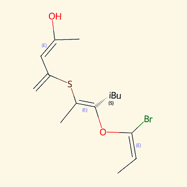 C=C(/C=C(\C)O)S/C(C)=C(/O/C(Br)=C\C)[C@@H](C)CC